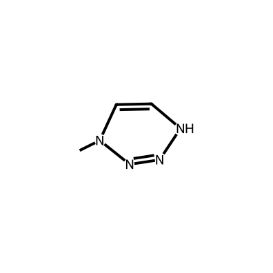 CN1C=CNN=N1